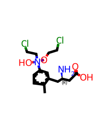 Cc1ccc([N+](O)(CCCl)OCCCl)cc1C[C@@H](N)CC(=O)O